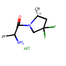 CC(C)C(N)C(=O)N1CC(F)(F)C[C@H]1C#N.Cl